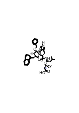 CC(C)C[C@@H](NC(=O)[C@H](Cc1c[nH]cn1)NC(=O)[C@@H](Cc1cccc2ccccc12)NC(=O)OCc1ccccc1)O/[P+]([O-])=C/C(=O)O